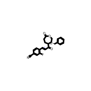 N#Cc1ccc(/C=C/C(=O)C2CCC(=O)OC[C@@H]2Cc2ccccc2)c(F)c1